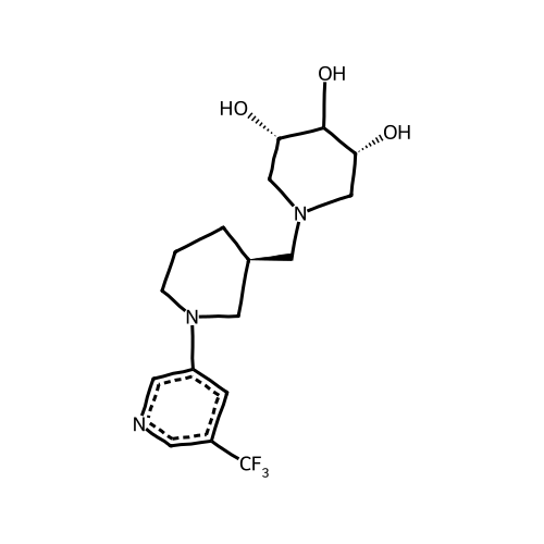 OC1[C@H](O)CN(C[C@@H]2CCCN(c3cncc(C(F)(F)F)c3)C2)C[C@@H]1O